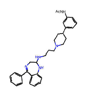 CC(=O)Nc1cccc(C2CCN(CCCNC3CN=C(c4ccccc4)c4ccccc4N3)CC2)c1